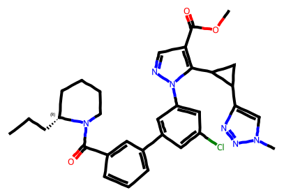 CCC[C@@H]1CCCCN1C(=O)c1cccc(-c2cc(Cl)cc(-n3ncc(C(=O)OC)c3C3CC3c3cn(C)nn3)c2)c1